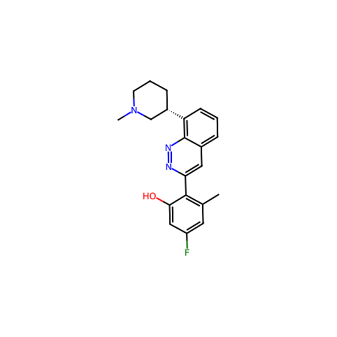 Cc1cc(F)cc(O)c1-c1cc2cccc([C@H]3CCCN(C)C3)c2nn1